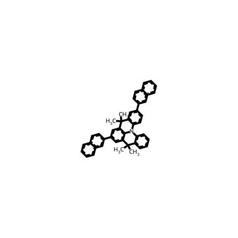 CC1(C)c2ccccc2N2c3ccc(-c4ccc5ccccc5c4)cc3C(C)(C)c3cc(-c4ccc5ccccc5c4)cc1c32